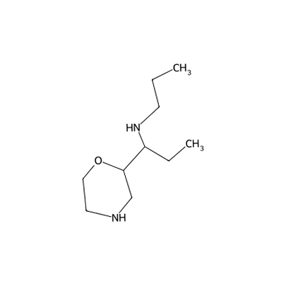 CCCNC(CC)C1CNCCO1